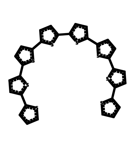 c1csc(-c2ccc(-c3ccc(-c4ccc(-c5ccc(-c6ccc(-c7ccc(-c8cccs8)s7)s6)s5)s4)s3)s2)c1